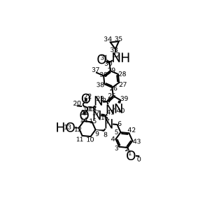 COc1ccc(CN(C[C@H]2CC[C@@H](O)CC2)c2nc(S(C)(=O)=O)nc3c(-c4ccc(C(=O)NC5CC5)c(C)c4)cnn23)cc1